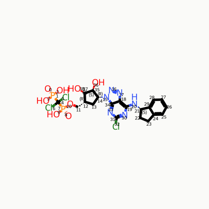 O=P(O)(O)C(Cl)(Cl)P(=O)(O)OC[C@H]1C[C@@H](n2nnc3c(N[C@H]4CCc5ccccc54)nc(Cl)nc32)[C@H](O)[C@@H]1O